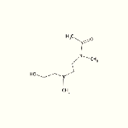 CC(=O)N(C)CCN(C)CCO